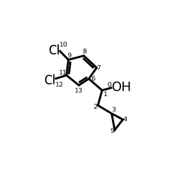 OC(CC1CC1)c1ccc(Cl)c(Cl)c1